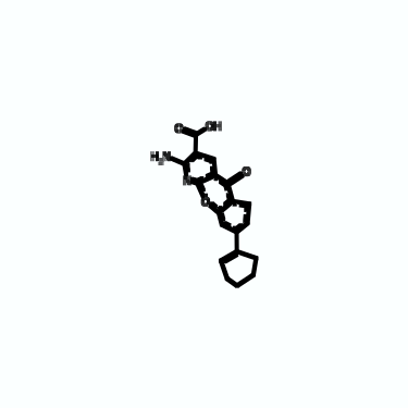 Nc1nc2oc3cc(C4=CCCCC4)ccc3c(=O)c2cc1C(=O)O